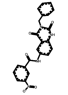 O=C(Nc1ccc2[nH]c(=O)n(Cc3ccccc3)c(=O)c2c1)c1cccc([N+](=O)[O-])c1